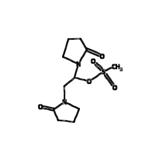 CS(=O)(=O)OC(CN1CCCC1=O)N1CCCC1=O